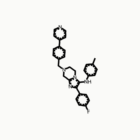 Cc1ccc(Nc2c(-c3ccc(F)cc3)nc3n2CCN(Cc2ccc(-c4ccncc4)cc2)C3)cc1